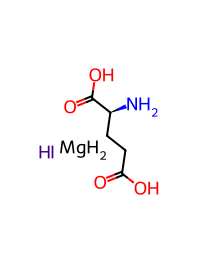 I.N[C@@H](CCC(=O)O)C(=O)O.[MgH2]